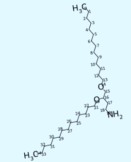 CCCCCCCCCCCCCCOCC(CCN)OCCCCCCCCCCCCCC